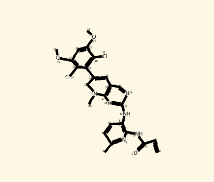 C=CC(=O)Nc1nc(C)ccc1Nc1ncc2c(n1)N(C)CC(c1c(Cl)c(OC)cc(OC)c1Cl)=C2